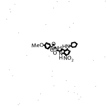 COc1ccc(S(=O)(=O)NC(=O)c2cc3c(NC4CCCCC4)ccc([N+](=O)[O-])c3[nH]2)cc1